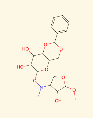 COC1OCC(N(C)OC2OC3COC(c4ccccc4)OC3C(O)C2O)C1O